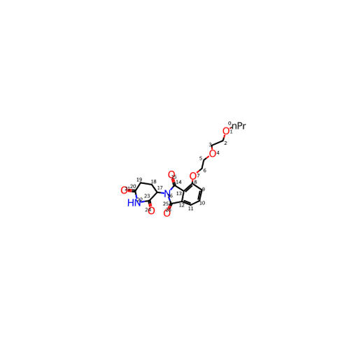 CCCOCCOCCOc1cccc2c1C(=O)N(C1CCC(=O)NC1=O)C2=O